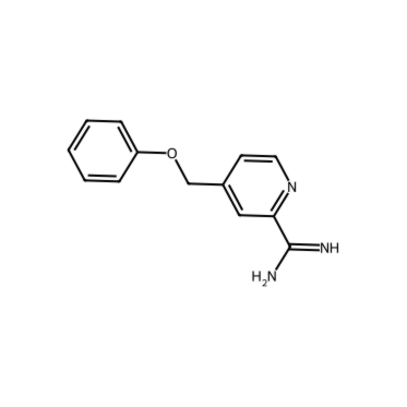 N=C(N)c1cc(COc2ccccc2)ccn1